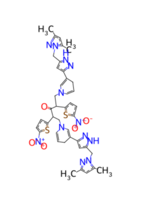 Cc1cc(C)n(Cc2cc(C3=CN(CC(C(=O)C(CN4C=CCC(c5cc(Cn6nc(C)cc6C)[nH]n5)=C4)c4ccc([N+](=O)[O-])s4)c4ccc([N+](=O)[O-])s4)C=CC3)n[nH]2)n1